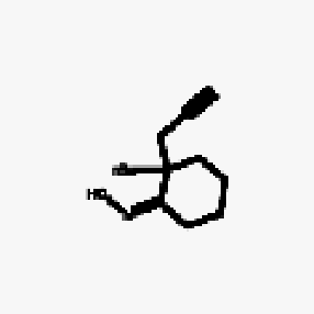 C#CCC1(CCCC)CCCCC1=NO